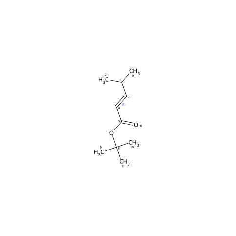 CC(C)/C=C/C(=O)OC(C)(C)C